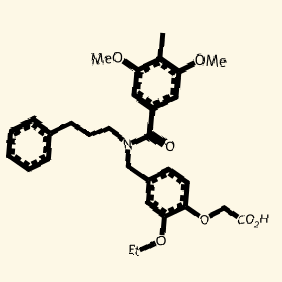 CCOc1cc(CN(CCCc2ccccc2)C(=O)c2cc(OC)c(C)c(OC)c2)ccc1OCC(=O)O